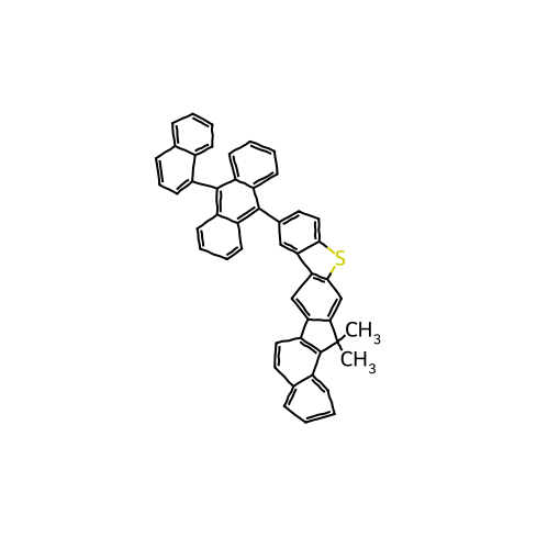 CC1(C)c2cc3sc4ccc(-c5c6ccccc6c(-c6cccc7ccccc67)c6ccccc56)cc4c3cc2-c2ccc3ccccc3c21